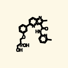 Cc1cccc(NC(=O)c2c(C)nc3ccc(-c4cccc(OC[C@H](O)CO)c4)nn23)n1